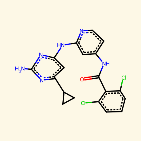 Nc1nc(Nc2cc(NC(=O)c3c(Cl)cccc3Cl)ccn2)cc(C2CC2)n1